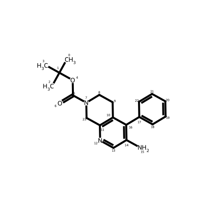 CC(C)(C)OC(=O)N1CCc2c(ncc(N)c2-c2ccccc2)C1